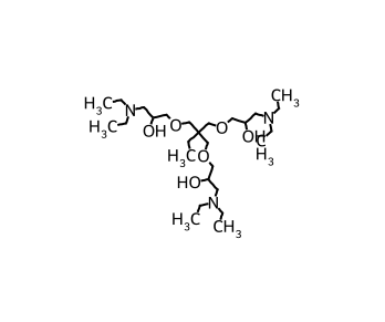 CCN(CC)CC(O)COCC(CC)(COCC(O)CN(CC)CC)COCC(O)CN(CC)CC